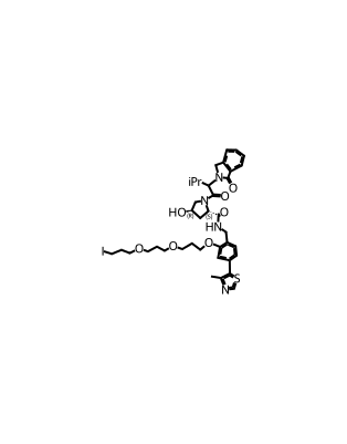 Cc1ncsc1-c1ccc(CNC(=O)[C@@H]2C[C@@H](O)CN2C(=O)C(C(C)C)N2Cc3ccccc3C2=O)c(OCCCOCCCOCCCI)c1